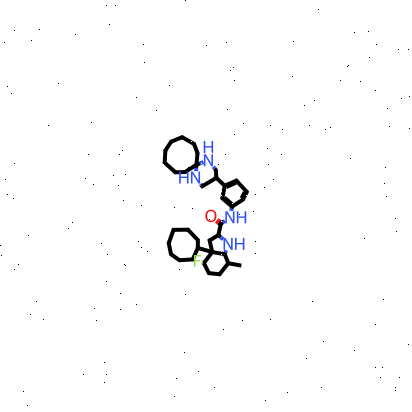 CC1CCC(F)C2(C3CCCCCCC3)CC(C(=O)Nc3cccc(C4CNC5(CCCCCCCC5)NC4)c3)NC12